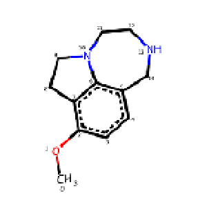 COc1ccc2c3c1CCN3CCNC2